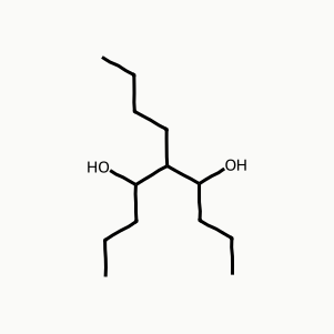 CCCCC(C(O)CCC)C(O)CCC